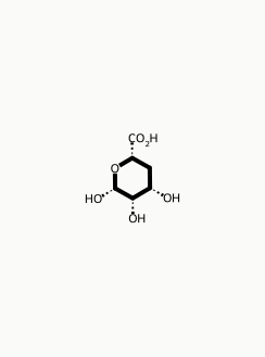 O=C(O)[C@@H]1C[C@H](O)[C@H](O)[C@H](O)O1